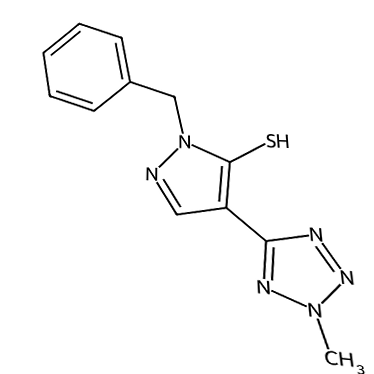 Cn1nnc(-c2cnn(Cc3ccccc3)c2S)n1